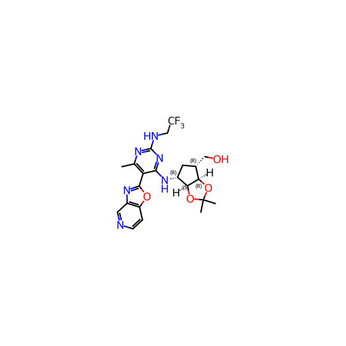 Cc1nc(NCC(F)(F)F)nc(N[C@@H]2C[C@H](CO)[C@H]3OC(C)(C)O[C@H]32)c1-c1nc2cnccc2o1